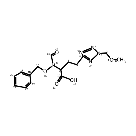 COCn1nnc(CCC(C(=O)O)N(C=O)OCc2ccccc2)n1